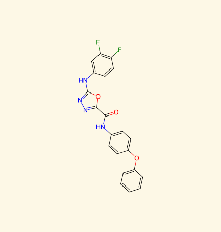 O=C(Nc1ccc(Oc2ccccc2)cc1)c1nnc(Nc2ccc(F)c(F)c2)o1